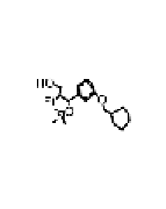 CCC(CO)[C@@H](O[Si](C)(C)C)c1cccc(OCC2CCCCC2)c1